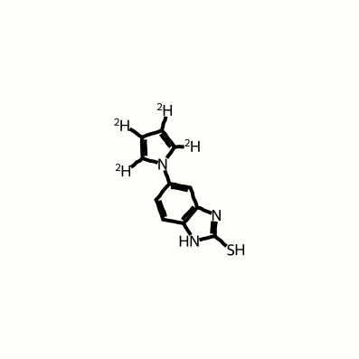 [2H]c1c([2H])c([2H])n(-c2ccc3[nH]c(S)nc3c2)c1[2H]